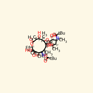 CC[C@H]1OC(=O)[C@H](C)[C@@H](O)[C@H](C)[C@@H](O[C@@H]2O[C@H](C)C[C@H](N(C)C(=O)C(C)(C)C)[C@H]2O)C(C)(O)C[C@@H](C)/C(=N\OC(=O)C(C)(C)C)[C@H](C)[C@@H](O)[C@]1(C)O